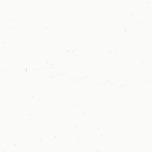 CCCCCCCC[SiH2][SiH3]